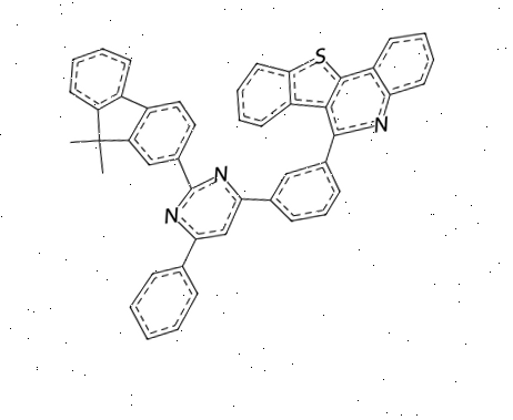 CC1(C)c2ccccc2-c2ccc(-c3nc(-c4ccccc4)cc(-c4cccc(-c5nc6ccccc6c6sc7ccccc7c56)c4)n3)cc21